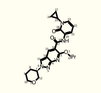 CC(C)Oc1nc2nn([C@@H]3CCCOC3)cc2cc1C(=O)Nc1cccn(C2CC2)c1=O